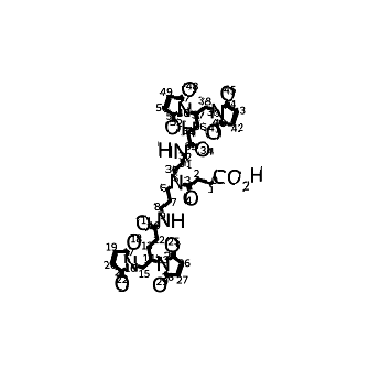 O=C(O)CCC(=O)N(CCCNC(=O)CCC(CN1C(=O)C=CC1=O)N1C(=O)C=CC1=O)CCNC(=O)CCC(CN1C(=O)C=CC1=O)N1C(=O)C=CC1O